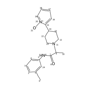 Cc1cccc(NC(=O)C(C)N2CCC(c3cccc[n+]3[O-])CC2)c1